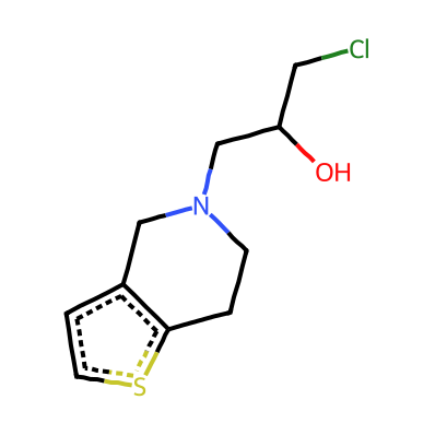 OC(CCl)CN1CCc2sccc2C1